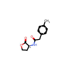 Cc1ccc(CC(=O)N[C@H]2CCOC2=O)cc1